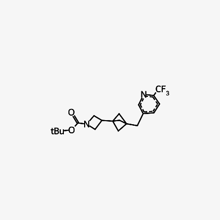 CC(C)(C)OC(=O)N1CC(C23CC(Cc4ccc(C(F)(F)F)nc4)(C2)C3)C1